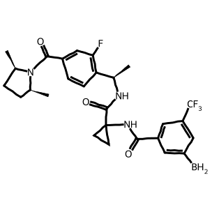 Bc1cc(C(=O)NC2(C(=O)N[C@H](C)c3ccc(C(=O)N4[C@H](C)CC[C@@H]4C)cc3F)CC2)cc(C(F)(F)F)c1